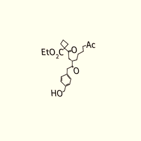 CCOC(=O)C1(C(=O)C[C@@H](CCCCC(C)=O)C(=O)Cc2ccc(CO)cc2)CCC1